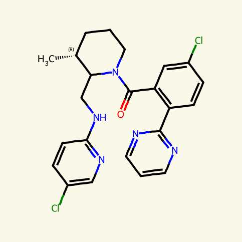 C[C@@H]1CCCN(C(=O)c2cc(Cl)ccc2-c2ncccn2)C1CNc1ccc(Cl)cn1